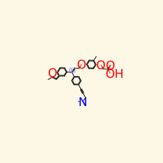 Cc1cc2cc(/C(=C/COc3ccc(OCC(=O)O)c(C)c3)c3ccc(C#CCN(C)C)cc3)ccc2o1